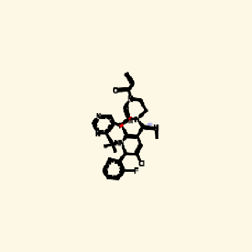 C=CC(=O)N1CCN(/C(=N/C)C2=C(N(C=O)c3cncnc3C(C)(C)C)NC(c3ccccc3F)C(Cl)=C2)[C@@H](C)C1